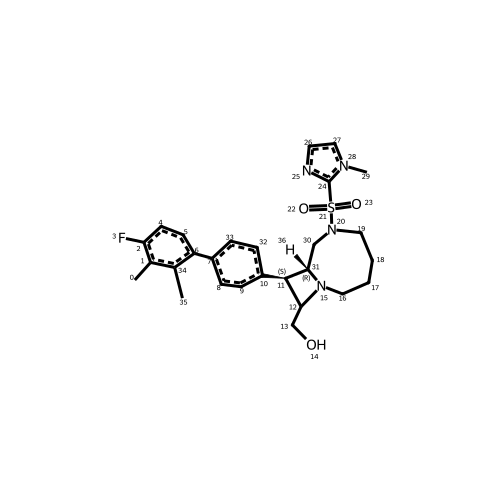 Cc1c(F)ccc(-c2ccc([C@@H]3C(CO)N4CCCCN(S(=O)(=O)c5nccn5C)C[C@@H]34)cc2)c1C